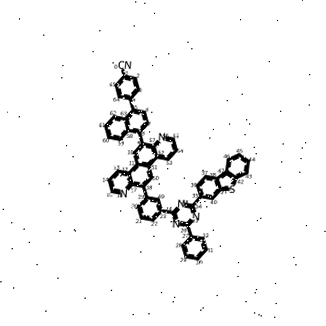 N#Cc1ccc(-c2ccc(-c3cc4c5cccnc5c(-c5cccc(-c6nc(-c7ccccc7)nc(-c7ccc8c(c7)sc7ccccc78)n6)c5)cc4c4cccnc34)c3ccccc23)cc1